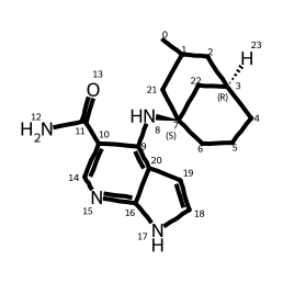 CC1C[C@H]2CCC[C@](Nc3c(C(N)=O)cnc4[nH]ccc34)(C1)C2